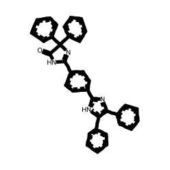 O=C1NC(c2ccc(-c3nc(-c4ccccc4)c(-c4ccccc4)[nH]3)cc2)=NC1(c1ccccc1)c1ccccc1